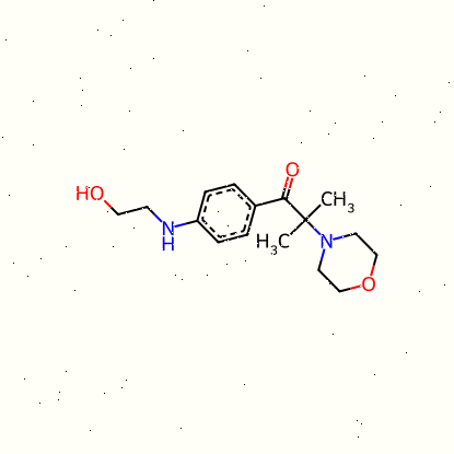 CC(C)(C(=O)c1ccc(NCCO)cc1)N1CCOCC1